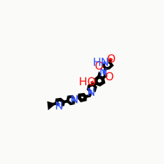 O=C1CCC(N2Cc3cc(C4(O)CCN(Cc5ccc(N6CCC(c7ccc(C8CC8)nc7)CC6)cc5)CC4)ccc3C2=O)C(=O)N1